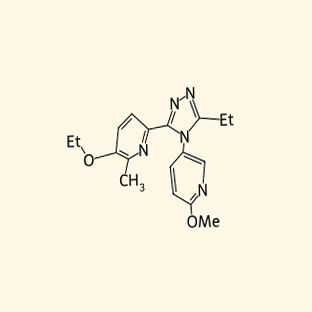 CCOc1ccc(-c2nnc(CC)n2-c2ccc(OC)nc2)nc1C